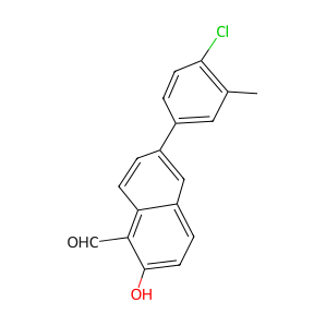 Cc1cc(-c2ccc3c(C=O)c(O)ccc3c2)ccc1Cl